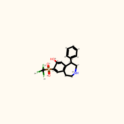 O=S(=O)(c1cc2c(cc1O)C(c1ccccc1)CNCC2)C(F)(F)F